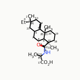 CC[C@@]1(C)CC=C2C(CCC3[C@](C)(C(=O)N[C@H](C)C(=O)O)CCC[C@@]23C)C1